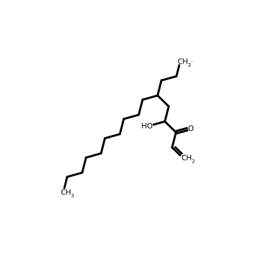 [CH2]CCC(CCCCCCCCCC)CC(O)C(=O)C=C